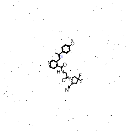 COc1ccc(/C(C)=C/c2cnccc2C(=O)NCC(=O)N2CC(F)(F)C[C@H]2C#N)cc1